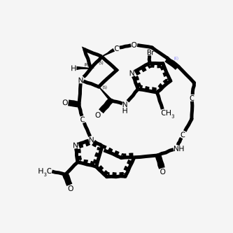 CC(=O)c1nn2c3cc(ccc13)C(=O)NCCCC/C=C/COC[C@@]13C[C@@H](C(=O)Nc4nc(Br)ccc4C)N(C(=O)C2)[C@@H]1C3